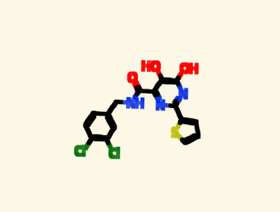 O=C(NCc1ccc(Cl)c(Cl)c1)c1nc(-c2cccs2)nc(O)c1O